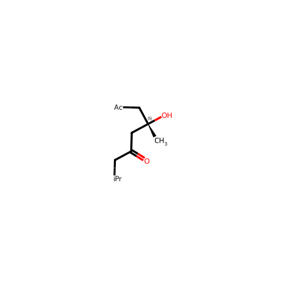 CC(=O)C[C@](C)(O)CC(=O)CC(C)C